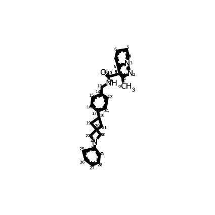 Cc1nn2ccccc2c1C(=O)NCc1ccc(C2CC3(C2)CN(c2ccccc2)C3)cc1